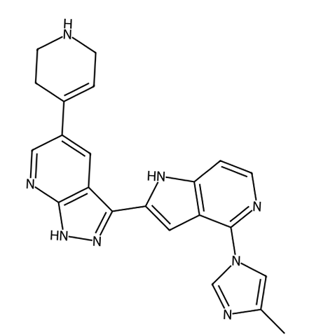 Cc1cn(-c2nccc3[nH]c(-c4n[nH]c5ncc(C6=CCNCC6)cc45)cc23)cn1